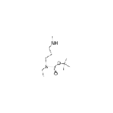 CCN(CCCNC)C(=O)OC(C)(C)C